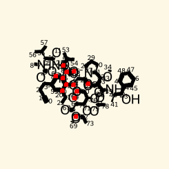 C#CCC(OC(=O)N(C)[C@H](C(=O)N[C@H](C(=O)N(C)[C@@H]([C@@H](C)CC)[C@@H](CC(=O)N1CCC[C@H]1[C@H](OC)[C@@H](C)C(=O)N[C@H](C)[C@@H](O)c1ccccc1)OC)C(C)C)C(C)C)c1ccc(O[C@@H]2O[C@H](C(=O)OC)[C@@H](OC(C)=O)[C@H](OC(C)=O)[C@H]2OC(C)=O)c([N+](=O)[O-])c1